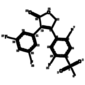 CS(=O)(=O)c1cc(F)c(C2=C(c3cc(F)cc(F)c3)C(=O)OC2)cc1F